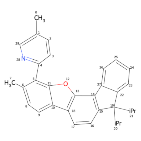 Cc1ccc(-c2c(C)ccc3c2oc2c4c(ccc23)C(C(C)C)(C(C)C)c2ccccc2-4)nc1